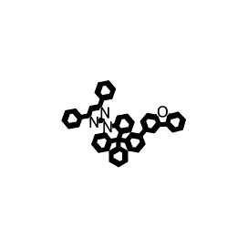 c1ccc(-c2cc(-c3ccccc3)nc(N3c4ccccc4C(c4ccccc4)(c4cccc(-c5ccc6oc7ccccc7c6c5)c4)c4ccccc43)n2)cc1